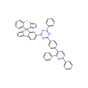 c1ccc(-c2ccc(-c3ccc(-c4nc(-c5ccccc5)nc(-c5ccc6c(c5)C5(c7ccccc7Sc7ccccc75)c5ccccc5-6)n4)cc3)c(-c3ccccc3)n2)cc1